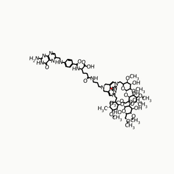 COCC1O[C@@H](O[C@@H]2C(Cn3cc(CN(CCCNC(=O)CCC(NC(=O)c4ccc(NCc5cnc6nc(N)[nH]c(=O)c6n5)cc4)C(=O)O)Cc4cn(CC5O[C@@H](O[C@@H]6C(COC)O[C@@H](C)C(OC)[C@H]6O)C(OC)[C@@H](O)[C@@H]5OC)nn4)nn3)O[C@@H](C)C(OC)[C@H]2O)C(OC)[C@@H](O)[C@@H]1OC